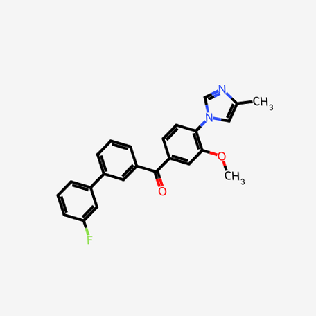 COc1cc(C(=O)c2cccc(-c3cccc(F)c3)c2)ccc1-n1cnc(C)c1